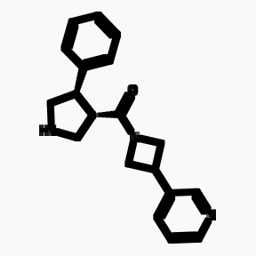 O=C([C@@H]1CNC[C@H]1c1ccccc1)N1CC(c2cccnc2)C1